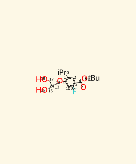 CC(C)c1cc(C(=O)OC(C)(C)C)c(F)cc1OCC(CO)CO